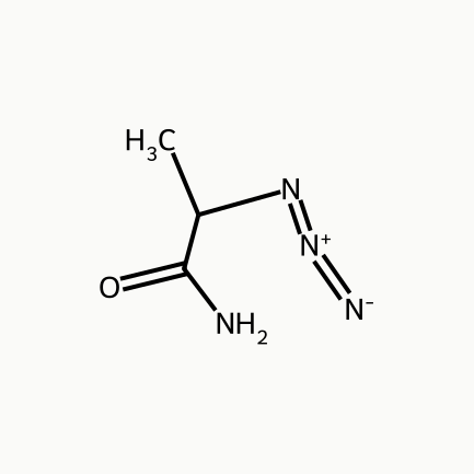 CC(N=[N+]=[N-])C(N)=O